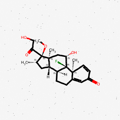 CO[C@]1(C(=O)CO)[C@@H](C)C[C@H]2[C@@H]3CCC4=CC(=O)C=C[C@]4(C)[C@@]3(F)[C@@H](O)C[C@@]21C